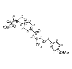 COc1ccc(COCC(OC(=O)N2CCC3(CC2)C[C@@H](N(C)S(=O)(=O)C(C)(C)C)CO3)C(F)(F)F)cc1